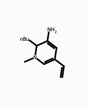 C=CC1=CN(C)C(CCCC)C(N)=C1